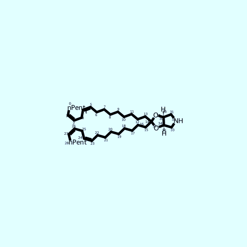 CCCCC/C=C\C/C=C\CCCCCCCCC1(CCCCCCCC/C=C\C/C=C\CCCCC)O[C@H]2CNC[C@H]2O1